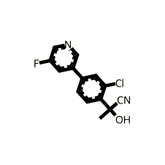 CC(O)(C#N)c1ccc(-c2cncc(F)c2)cc1Cl